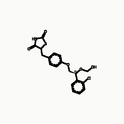 O=C1NC(=O)C(Cc2ccc(OC[C@H](OCO)c3ccccc3Cl)cc2)S1